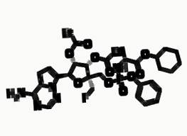 CCC(=O)O[C@H]1[C@H](c2ccc3c(N)ncnn23)O[C@](CF)(COP(=O)(N[C@@H](C)C(=O)OC2CCCCC2)Oc2ccccc2)[C@H]1OC(=O)CC